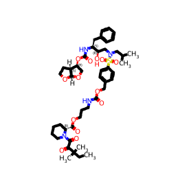 CCC(C)(C)C(=O)C(=O)N1CCCC[C@@H]1C(=O)OCCCNC(=O)OCc1ccc(S(=O)(=O)N(CC(C)C)C[C@@H](O)[C@H](Cc2ccccc2)NC(=O)O[C@H]2CO[C@H]3OCC[C@H]32)cc1